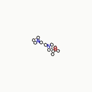 Cc1ccccc1N(c1ccc(-c2ccc(N3c4ccccc4C(c4ccccc4)(c4cc5ccccc5c5c4oc4ccccc45)c4ccccc43)cc2)cc1)c1cccc2ccccc12